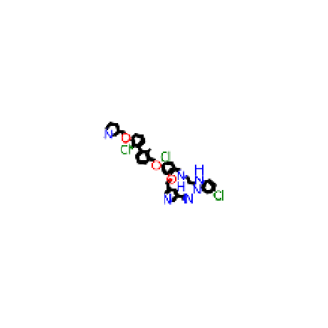 Cc1c(COc2cc(OCc3cncc(C#N)c3)c(CNCCc3nc4cc(Cl)ccc4[nH]3)cc2Cl)cccc1-c1cccc(OCC2CCCN(C)C2)c1Cl